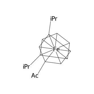 CC(=O)[C]12[CH]3[CH]4[C]5(C(C)C)[CH]1[Fe]34251678[CH]2[CH]1[CH]6[C]7(C(C)C)[CH]28